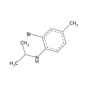 Cc1ccc(NC(C)C)c(Br)c1